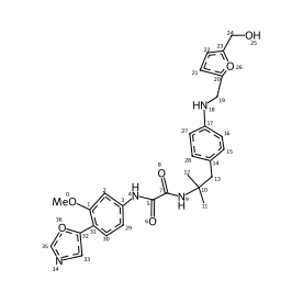 COc1cc(NC(=O)C(=O)NC(C)(C)Cc2ccc(NCc3ccc(CO)o3)cc2)ccc1-c1cnco1